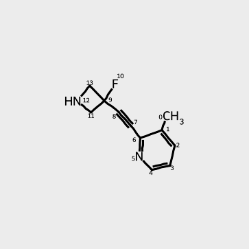 Cc1cccnc1C#CC1(F)CNC1